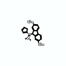 C[Si](C)=[Ti]([C]1=CC=CC1)[CH]1c2cc(C(C)(C)C)ccc2-c2ccc(C(C)(C)C)cc21